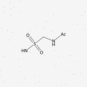 CC(=O)NCS([NH])(=O)=O